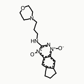 [O-][n+]1nc(NCCCN2CCOCC2)[n+]([O-])c2cc3c(cc21)CCC3